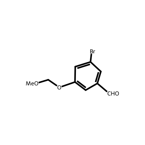 COCOc1cc(Br)cc(C=O)c1